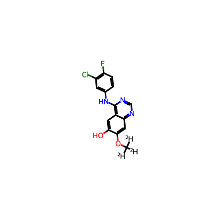 [2H]C([2H])([2H])Oc1cc2ncnc(Nc3ccc(F)c(Cl)c3)c2cc1O